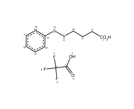 O=C(O)C(F)(F)F.O=C(O)CCCSSc1ccccn1